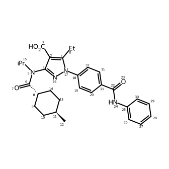 CCc1c(C(=O)O)c(N(C(=O)[C@H]2CC[C@H](C)CC2)C(C)C)nn1-c1ccc(C(=O)Nc2ccccc2)cc1